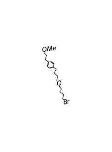 COCCCc1ccc(CCCCOCCCCCBr)cc1